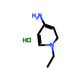 CCN1C=CC(N)=CC1.Cl